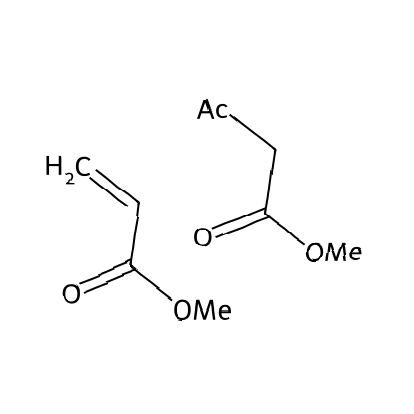 C=CC(=O)OC.COC(=O)CC(C)=O